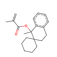 C=C(C)C(=O)OC1(C)c2ccccc2CCC12CCCCC2